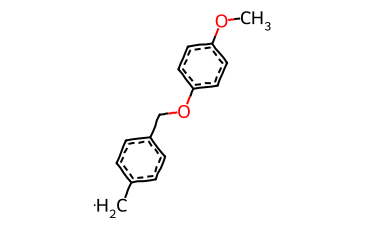 [CH2]c1ccc(COc2ccc(OC)cc2)cc1